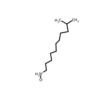 CC(C)CCCCCCCCC[NH2+][O-]